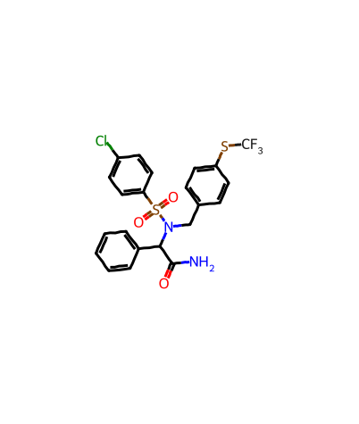 NC(=O)C(c1ccccc1)N(Cc1ccc(SC(F)(F)F)cc1)S(=O)(=O)c1ccc(Cl)cc1